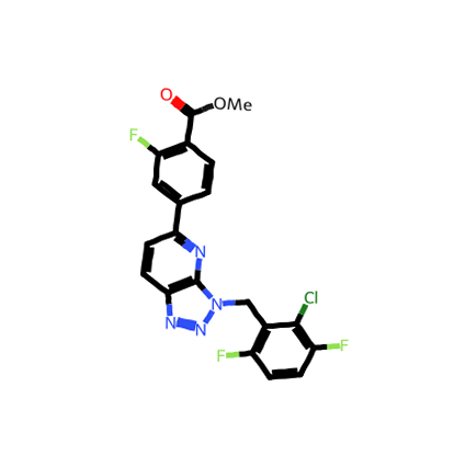 COC(=O)c1ccc(-c2ccc3nnn(Cc4c(F)ccc(F)c4Cl)c3n2)cc1F